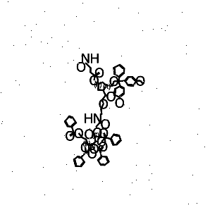 CNC(=O)CCC(=O)O[C@H]1CC(C(=O)COCCNC(=O)CO[C@H]2OC(COC(=O)c3ccccc3)[C@@H](OC(=O)c3ccccc3)[C@H](OC(=O)c3ccccc3)C2OC(=O)c2ccccc2)[C@H](COC(c2ccccc2)(c2ccc(OC)cc2)c2ccc(OC)cc2)C1